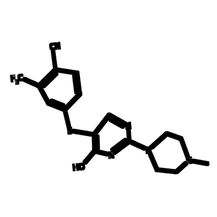 CN1CCN(c2ncc(Sc3ccc(C#N)c(C(F)(F)F)c3)c(O)n2)CC1